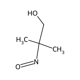 CC(C)(CO)N=O